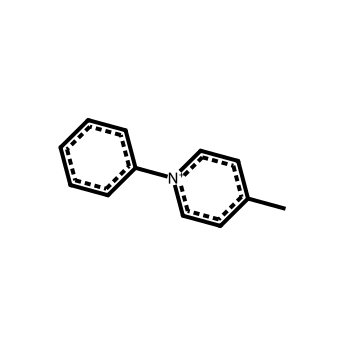 Cc1cc[n+](-c2ccccc2)cc1